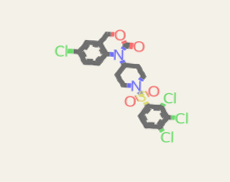 O=C1OCc2cc(Cl)ccc2N1C1CCN(S(=O)(=O)c2ccc(Cl)c(Cl)c2Cl)CC1